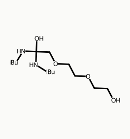 CCC(C)NC(O)(COCCOCCO)NC(C)CC